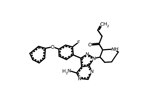 C=CCC(=O)C1NCCCC1n1nc(-c2ccc(Oc3ccccc3)cc2F)c2c(N)ncnc21